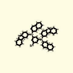 Brc1cc(N(c2ccc3ccccc3c2)c2ccc3sc4ccccc4c3c2)cc(N(c2ccc3ccccc3c2)c2ccc3sc4ccccc4c3c2)c1